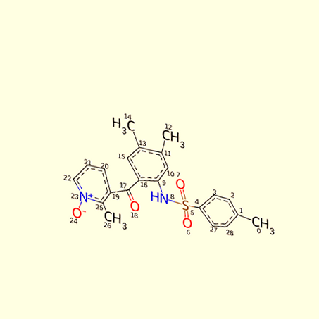 Cc1ccc(S(=O)(=O)Nc2cc(C)c(C)cc2C(=O)c2ccc[n+]([O-])c2C)cc1